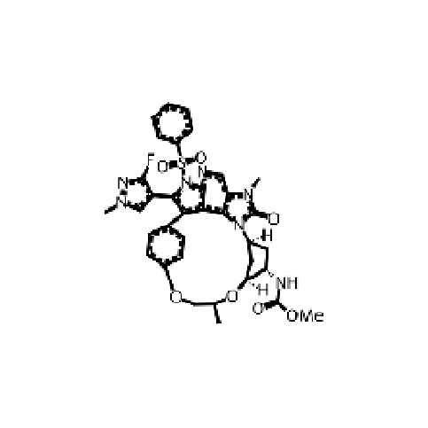 COC(=O)N[C@H]1C[C@H]2C[C@@H]1OC(C)COc1ccc(cc1)-c1c(-c3cn(C)nc3F)n(S(=O)(=O)c3ccccc3)c3ncc4c(c13)n2c(=O)n4C